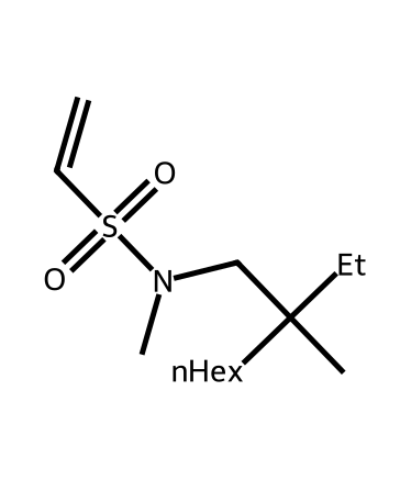 C=CS(=O)(=O)N(C)CC(C)(CC)CCCCCC